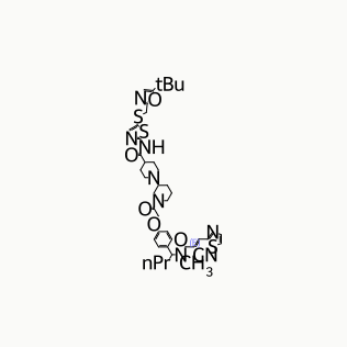 CCCC(c1ccc(OCC(=O)N2CCCC(N3CCC(C(=O)Nc4ncc(SCc5ncc(C(C)(C)C)o5)s4)CC3)C2)cc1)N(C)C(=O)/C(C#N)=C/c1nccs1